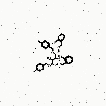 Cc1ccc(CO[C@H](COCc2ccccc2F)[C@@H](O)[C@H](O)[C@@H](COCc2ccccc2F)OCc2ccc(C)cc2)cc1